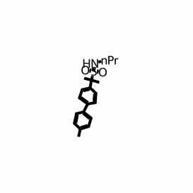 CCCNS(=O)(=O)C(C)(C)c1ccc(-c2ccc(C)cc2)cc1